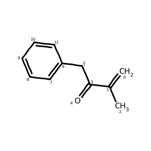 C=C(C)C(=O)[CH]c1ccccc1